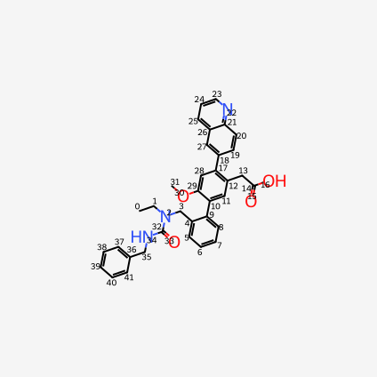 CCN(Cc1ccccc1-c1cc(CC(=O)O)c(-c2ccc3ncccc3c2)cc1OC)C(=O)NCc1ccccc1